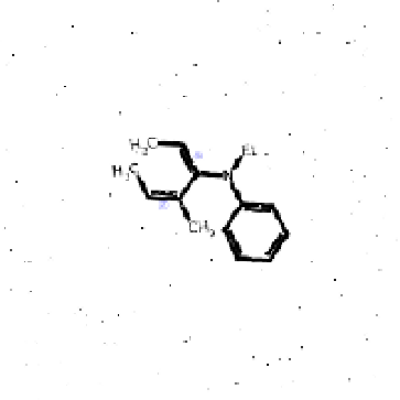 C/C=C(C)\C(=C/C)N(CC)c1ccccc1